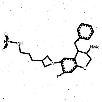 CNC1COc2cc(F)c(N3CC(CCCN[SH](=O)=O)C3)cc2C1Cc1ccccc1